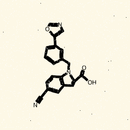 N#Cc1ccc2c(c1)cc(C(=O)O)n2Cc1cccc(-c2cnco2)c1